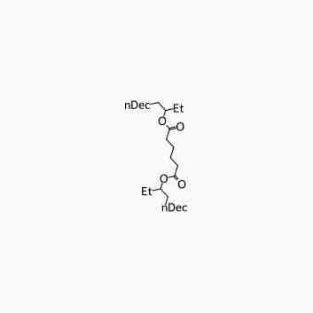 CCCCCCCCCCCC(CC)OC(=O)CCCCC(=O)OC(CC)CCCCCCCCCCC